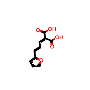 O=C(O)C(=CC=Cc1ccco1)C(=O)O